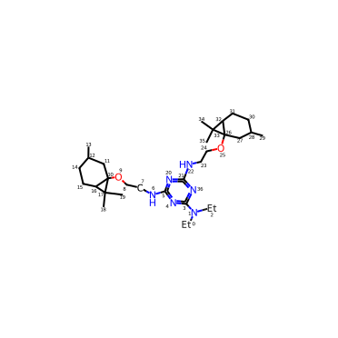 CCN(CC)c1nc(NCCOC23CC(C)CCC2C3(C)C)nc(NCCOC23CC(C)CCC2C3(C)C)n1